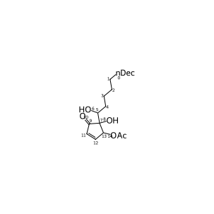 CCCCCCCCCCCCCCC(O)C1(O)C(=O)C=CC1OC(C)=O